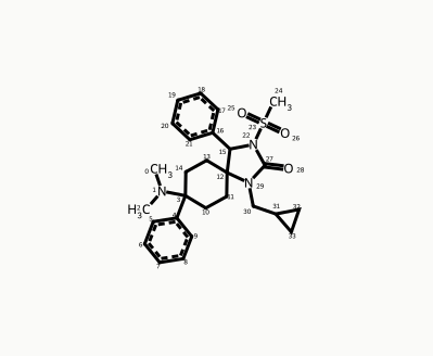 CN(C)C1(c2ccccc2)CCC2(CC1)C(c1ccccc1)N(S(C)(=O)=O)C(=O)N2CC1CC1